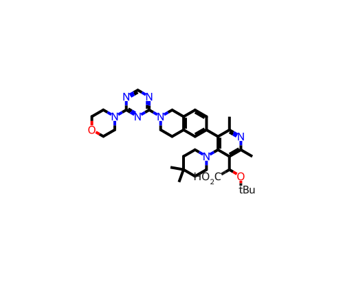 Cc1nc(C)c(C(OC(C)(C)C)C(=O)O)c(N2CCC(C)(C)CC2)c1-c1ccc2c(c1)CCN(c1ncnc(N3CCOCC3)n1)C2